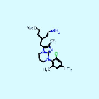 COCCC(CCN)Cc1c(C(F)(F)F)nc2n1CCCN2c1c(C)cc(C)cc1Cl